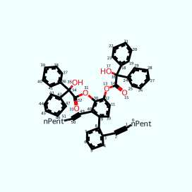 CCCCCC#Cc1ccccc1-c1ccc(OC(=O)C(O)(c2ccccc2)c2ccccc2)c(OC(=O)C(O)(c2ccccc2)c2ccccc2)c1C#CCCCCC